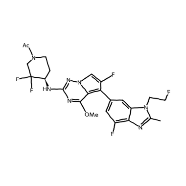 COc1nc(N[C@@H]2CCN(C(C)=O)CC2(F)F)nn2cc(F)c(-c3cc(F)c4nc(C)n(CCF)c4c3)c12